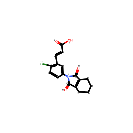 O=C(O)C=Cc1cc(N2C(=O)C3=C(CCCC3)C2=O)ccc1Cl